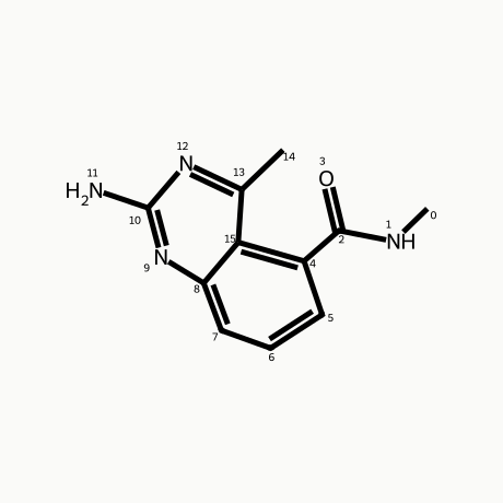 CNC(=O)c1cccc2nc(N)nc(C)c12